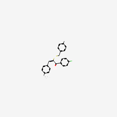 CSc1ccc(/C=C(/SCc2ccc(C)cc2)C(=O)c2ccc(Cl)cc2)cc1